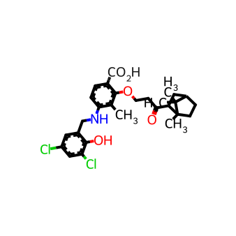 Cc1c(NCc2cc(Cl)cc(Cl)c2O)ccc(C(=O)O)c1OCCC(=O)C1CC2CCC1(C)C2(C)C